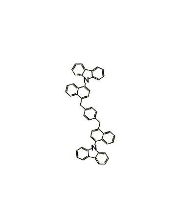 c1ccc2c(-n3c4ccccc4c4ccccc43)ccc(Cc3ccc(Cc4ccc(-n5c6ccccc6c6ccccc65)c5ccccc45)cc3)c2c1